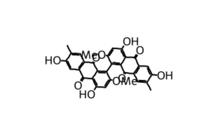 COc1cc(O)c2c(c1-c1c(OC)cc(O)c3c1C(=O)c1cc(C)c(O)cc1C3=O)C(=O)c1cc(C)c(O)cc1C2=O